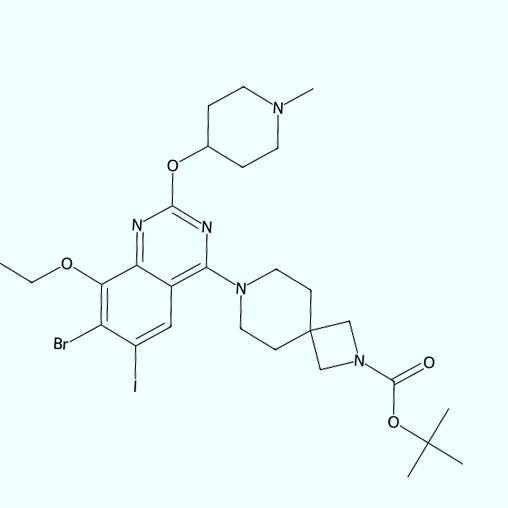 CCOc1c(Br)c(I)cc2c(N3CCC4(CC3)CN(C(=O)OC(C)(C)C)C4)nc(OC3CCN(C)CC3)nc12